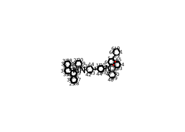 C1=CCC(c2ccc(N(c3ccc(C4=CCC(NC5C=CC=CC5c5cc6ccccc6c6ccc7ccccc7c56)C=C4)cc3)C3CC=CC=C3c3ccccc3)cc2)C=C1